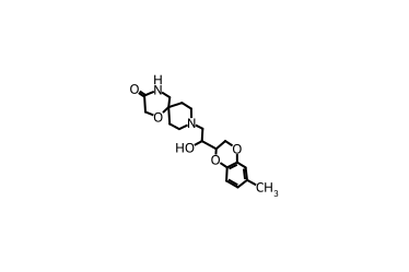 Cc1ccc2c(c1)OCC(C(O)CN1CCC3(CC1)CNC(=O)CO3)O2